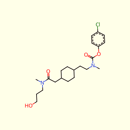 CN(CCCO)C(=O)CC1CCC(CCN(C)C(=O)Oc2ccc(Cl)cc2)CC1